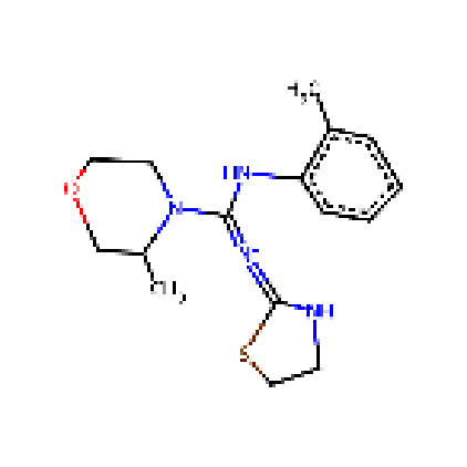 Cc1ccccc1NC(=[N+]=C1NCCS1)N1CCOCC1C